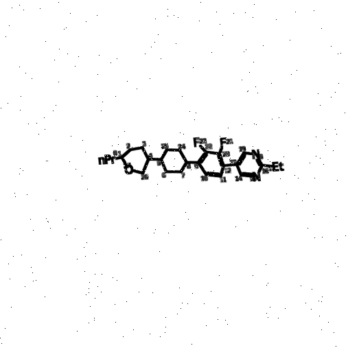 CCCC1CCC(C2CCC(c3ccc(-c4cnc(CC)nc4)c(F)c3F)CC2)CO1